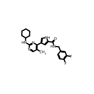 Cc1cnc(NC2CCCCC2)nc1-c1c[nH]c(C(=O)NCc2ccc(F)c(F)c2)c1